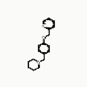 c1ccc(COc2ccc(CN3CCCCC3)cc2)nc1